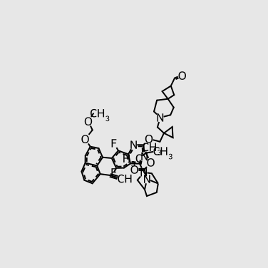 C#Cc1cccc2cc(OCOC)cc(-c3c(F)cc4c(N5CC6CCC(C5)N6C(=O)OC(C)(C)C)nc(OCC5(CN6CCC7(CC6)CC(C=O)C7)CC5)nc4c3F)c12